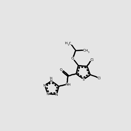 CC(C)Oc1c(C(=O)Nc2nnn[nH]2)sc(Cl)c1Cl